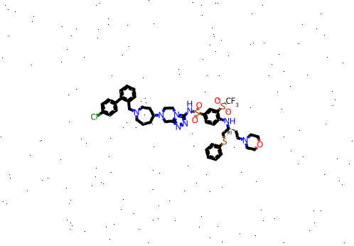 O=S(=O)(Nc1nnc2n1CCN(C1CCCN(Cc3ccccc3-c3ccc(Cl)cc3)CC1)C2)c1ccc(N[C@H](CCN2CCOCC2)CSc2ccccc2)c(S(=O)(=O)C(F)(F)F)c1